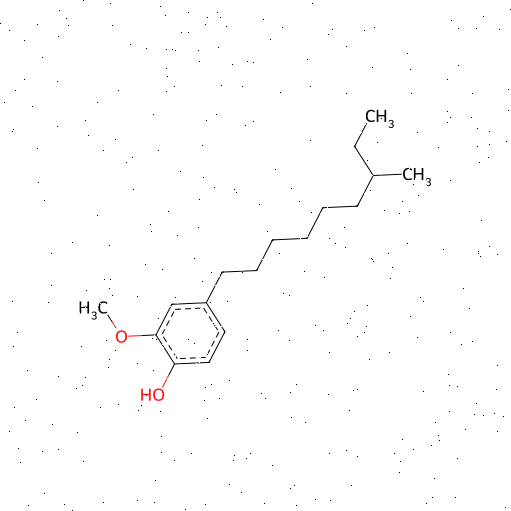 CCC(C)CCCCCCc1ccc(O)c(OC)c1